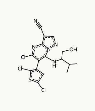 CC(C)C(CO)Nc1c(-c2cc(Cl)sc2Cl)c(Cl)nc2c(C#N)cnn12